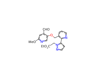 CCOC(=O)Cn1nccc1-c1ncccc1COc1cnc(OC)cc1C=O